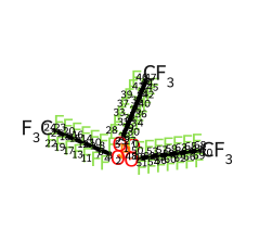 O=P(OC(F)(F)C(F)(F)C(F)(F)C(F)(F)C(F)(F)C(F)(F)C(F)(F)C(F)(F)F)(OC(F)(F)C(F)(F)C(F)(F)C(F)(F)C(F)(F)C(F)(F)C(F)(F)C(F)(F)F)OC(F)(F)C(F)(F)C(F)(F)C(F)(F)C(F)(F)C(F)(F)C(F)(F)C(F)(F)F